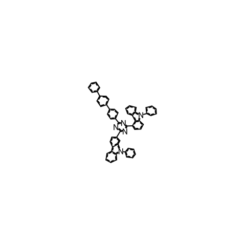 c1ccc(-c2ccc(-c3ccc(-c4nc(-c5ccc6c7ccccc7n(-c7ccccc7)c6c5)nc(-c5cccc6c5c5ccccc5n6-c5ccccc5)n4)cc3)cc2)cc1